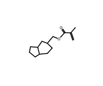 C=C(C)C(=O)OCC1CCC2CCCC2C1